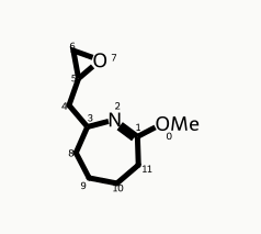 COC1=NC(CC2CO2)CCCC1